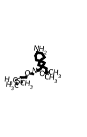 CC1(C)CC2(CC3(CCC(N)CC3)C2)C(=NCOCC[Si](C)(C)C)O1